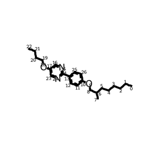 CCCCCCC(C)COc1ccc(-c2ncc(OCCCC)cn2)cc1